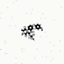 CCC(=O)Nc1ccc(Oc2ccc(SC)cc2)cc1NC(=NC(=O)OC)NC(=O)OC